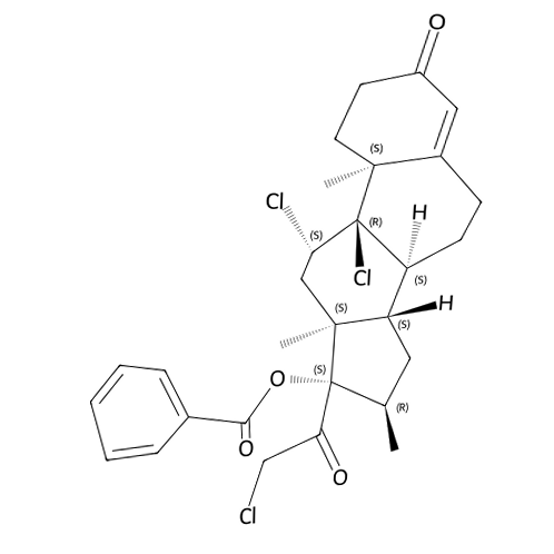 C[C@@H]1C[C@H]2[C@@H]3CCC4=CC(=O)CC[C@]4(C)[C@@]3(Cl)[C@@H](Cl)C[C@]2(C)[C@]1(OC(=O)c1ccccc1)C(=O)CCl